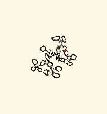 c1ccc(-c2nc(-n3c4ccc([Si](c5ccccc5)(c5ccccc5)c5ccccc5)cc4c4cc(S(c5ccccc5)(c5ccccc5)c5ccccc5)ccc43)cc(-n3c4ccc([Si](c5ccccc5)(c5ccccc5)c5ccccc5)cc4n4c5cc([Si](c6ccccc6)(c6ccccc6)c6ccccc6)ccc5nc34)n2)cc1